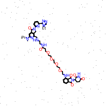 CCn1cnnc1-c1cccc(N2Cc3c(cc(N(C)C(C)C)nc3CNCCNC(=O)CCOCCOCCOCCOCCNc3cccc4c3C(=O)N(C3CCC(=O)NC3=O)C4=O)C2=O)n1